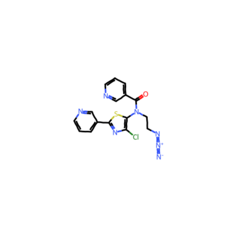 [N-]=[N+]=NCCN(C(=O)c1cccnc1)c1sc(-c2cccnc2)nc1Cl